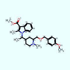 COC(=O)c1c(C)n(C(C)C2CCN(C)C(COCc3ccc(OC)cc3)C2)c2ccccc12